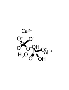 O.O=P([O-])(O)O.[Al+3].[Ca+2].[O-][Si]([O-])([O-])[O-]